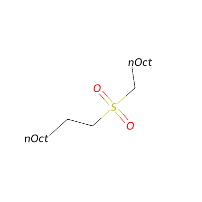 CCCCCCCCCCS(=O)(=O)CCCCCCCCC